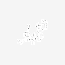 COc1ncc(C#N)cc1S(=O)(=O)Nc1ccc(F)c(-c2ccn3c(-c4ncc[nH]4)ncc3c2)c1F